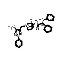 Cc1nn(-c2ccccc2)nc1C[N+]12CCC(CC1)[C@@H](OC(=O)[C@H](Nc1ccccc1)c1ccccc1)C2